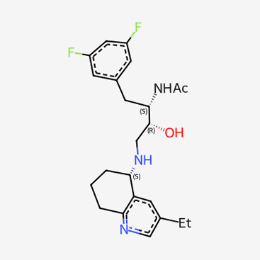 CCc1cnc2c(c1)[C@@H](NC[C@@H](O)[C@H](Cc1cc(F)cc(F)c1)NC(C)=O)CCC2